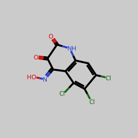 O=C1Nc2cc(Cl)c(Cl)c(Cl)c2C(=NO)C1=O